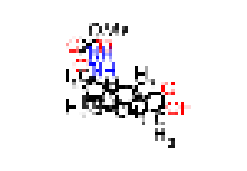 COC(=O)C1(NC(=O)N[C@]2(C)CC[C@]3(C)CC[C@]4(C)C5=CC=C6C(=CC(=O)C(O)=C6C)[C@]5(C)CC[C@@]4(C)[C@@H]3C2)COC1